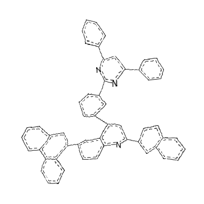 c1ccc(-c2cc(-c3ccccc3)nc(-c3cccc(-c4cc(-c5ccc6ccccc6c5)nc5ccc(-c6cc7ccccc7c7ccccc67)cc45)c3)n2)cc1